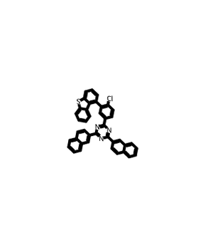 Clc1ccc(-c2nc(-c3ccc4ccccc4c3)nc(-c3ccc4ccccc4c3)n2)cc1-c1cccc2sc3ccccc3c12